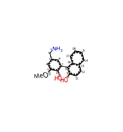 COc1cc(CN)cc(-c2c(O)ccc3ccccc23)c1O